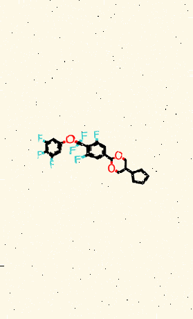 Fc1cc(OC(F)(F)c2c(F)cc(C3OCC(C4CCCC4)CO3)cc2F)cc(F)c1F